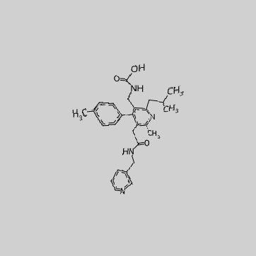 Cc1ccc(-c2c(CC(=O)NCc3cccnc3)c(C)nc(CC(C)C)c2CNC(=O)O)cc1